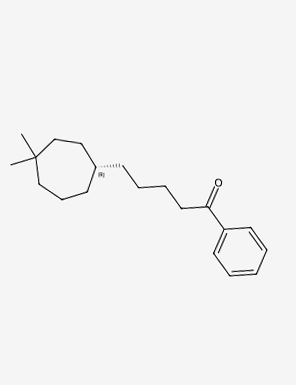 CC1(C)CCC[C@@H](CCCCC(=O)c2ccccc2)CC1